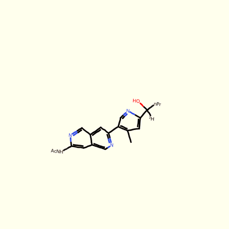 [2H]C(O)(CCC)c1cc(C)c(-c2cc3cnc(NC(C)=O)cc3cn2)cn1